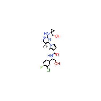 Cc1cnc(NC2(CO)CC2)nc1-n1ccc(C(=O)NC(CO)c2ccc(F)c(Cl)c2)c1